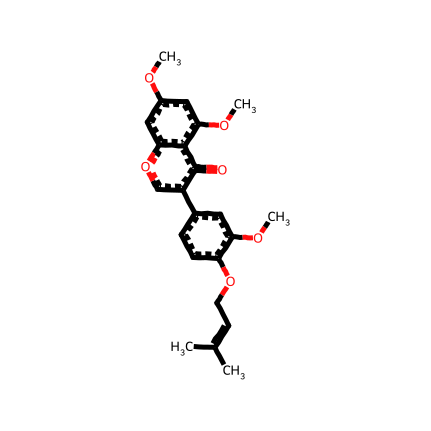 COc1cc(OC)c2c(=O)c(-c3ccc(OCC=C(C)C)c(OC)c3)coc2c1